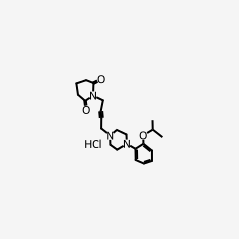 CC(C)Oc1ccccc1N1CCN(CC#CCN2C(=O)CCCC2=O)CC1.Cl